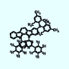 [2H]c1c([2H])c([2H])c(-c2nc(-c3c([2H])c([2H])c([2H])c([2H])c3[2H])nc(-n3c4ccc(B(c5c(C)cc(C)cc5C)c5c(C)cc(C)cc5C)cc4c4ccc5c6ccccc6n(-c6ccccc6)c5c43)n2)c([2H])c1[2H]